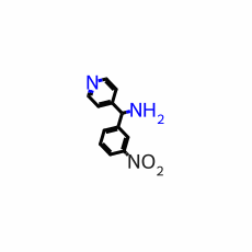 NC(c1ccncc1)c1cccc([N+](=O)[O-])c1